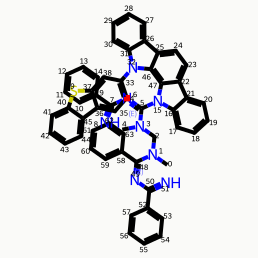 CN(CN(C)/C(=N\C(=N)c1ccccc1)n1c2ccccc2c2ccc3c4ccccc4n(-c4ccc5c(c4)sc4ccccc45)c3c21)/C(=N\C(=N)c1ccccc1)c1ccccc1